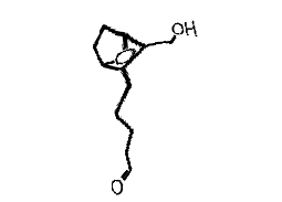 O=CCCCCC1C2CCC(O2)C1CO